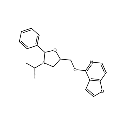 CC(C)N1CC(COc2nccc3occc23)OC1c1ccccc1